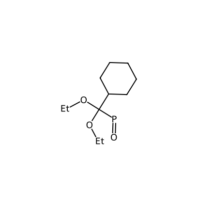 CCOC(OCC)(P=O)C1CCCCC1